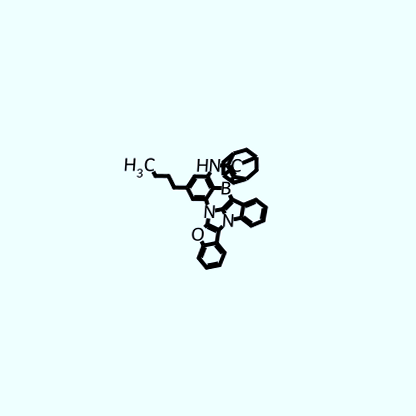 CCCCc1cc2c3c(c1)-n1c4oc5ccccc5c4n4c5ccccc5c(c14)B3C1=C(N2)C2CC3CC(C2)CC1C3